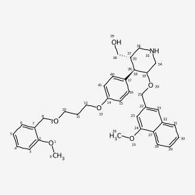 COc1ccccc1COCCCOc1ccc([C@@H]2C(OCc3cc(OC)c4ccccc4c3)CNC[C@H]2CO)cc1